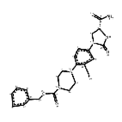 NC(=O)[C@H]1CN(c2ccc(N3CCN(C(=O)OCc4ccccc4)CC3)c(F)c2)C(=O)O1